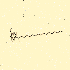 CCCCCCCCCCCCCCCCC(C)c1nc(C(C)C)cn1C